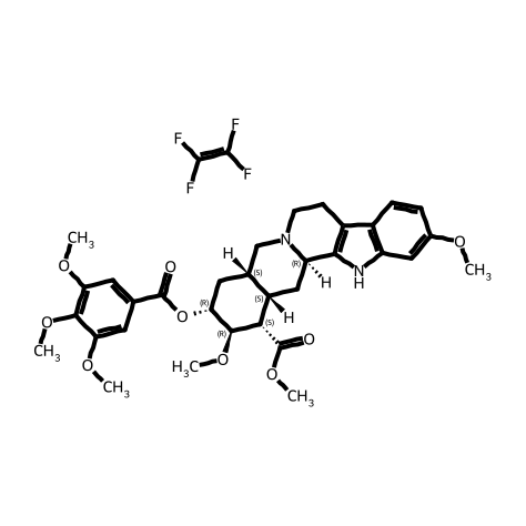 COC(=O)[C@H]1[C@H]2C[C@@H]3c4[nH]c5cc(OC)ccc5c4CCN3C[C@H]2C[C@@H](OC(=O)c2cc(OC)c(OC)c(OC)c2)[C@@H]1OC.FC(F)=C(F)F